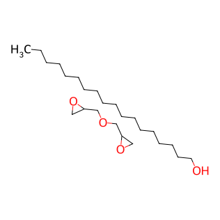 C(OCC1CO1)C1CO1.CCCCCCCCCCCCCCCCCCO